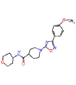 COc1ccc(-c2noc(N3CCC(C(=O)NC4CCOCC4)CC3)n2)cc1